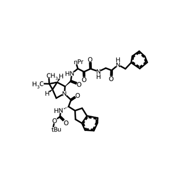 CCCC(NC(=O)[C@@H]1[C@@H]2[C@H](CN1C(=O)[C@@H](NC(=O)OC(C)(C)C)C1Cc3ccccc3C1)C2(C)C)C(=O)C(=O)NCC(=O)NCc1ccccc1